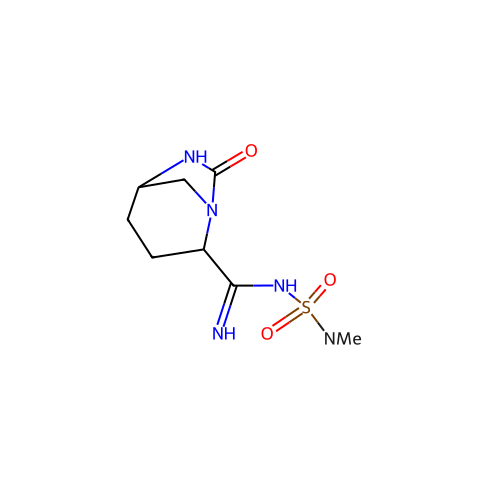 CNS(=O)(=O)NC(=N)C1CCC2CN1C(=O)N2